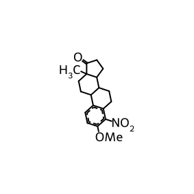 COc1ccc2c(c1[N+](=O)[O-])CCC1C2CCC2(C)C(=O)CCC12